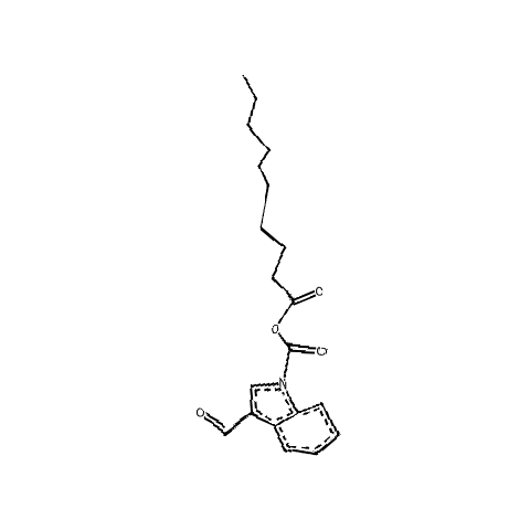 CCCCCCCCCC(=O)OC(=O)n1cc(C=O)c2ccccc21